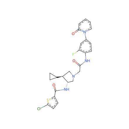 O=C(CN1C[C@H](NC(=O)c2ccc(Cl)s2)[C@@H](C2CC2)C1)Nc1ccc(-n2ccccc2=O)cc1F